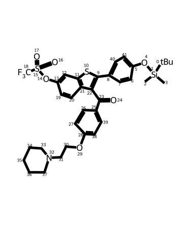 CC(C)(C)[Si](C)(C)Oc1ccc(-c2sc3cc(OS(=O)(=O)C(F)(F)F)ccc3c2C(=O)c2ccc(OCCN3CCCCC3)cc2)cc1